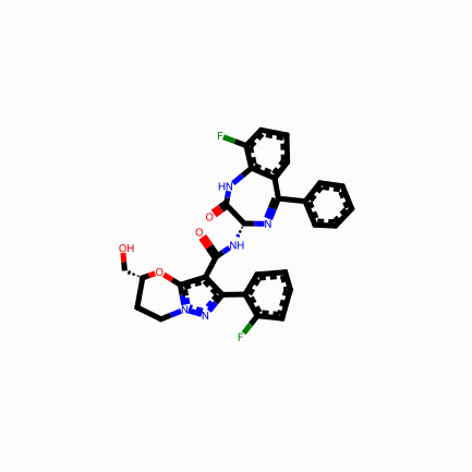 O=C(N[C@H]1N=C(c2ccccc2)c2cccc(F)c2NC1=O)c1c(-c2ccccc2F)nn2c1O[C@@H](CO)CC2